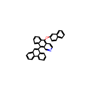 c1ccc2cc(Oc3c4ccccc4c(-c4cc5ccccc5c5ccccc45)c4cnccc34)ccc2c1